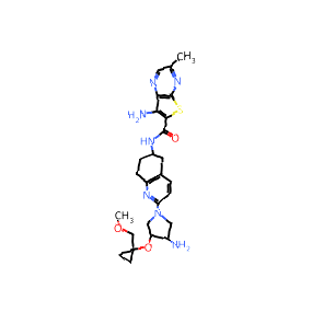 COCC1(OC2CN(c3ccc4c(n3)CCC(NC(=O)c3sc5nc(C)cnc5c3N)C4)CC2N)CC1